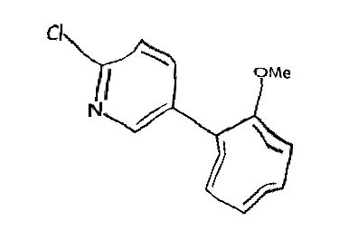 COc1ccccc1-c1ccc(Cl)nc1